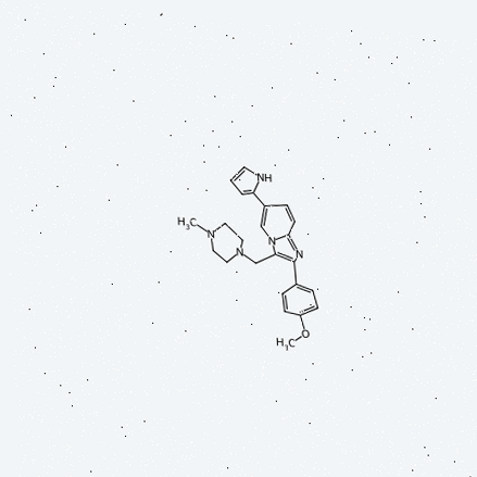 COc1ccc(-c2nc3ccc(-c4ccc[nH]4)cn3c2CN2CCN(C)CC2)cc1